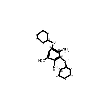 Cc1cc(SC2CCCCC2)c(N)c(SC2CCCCC2)c1N